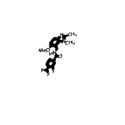 COc1ccc2nc(C)n(C)c2c1CNC(=O)c1ccc(C(F)F)c(F)c1